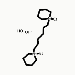 CC[N+]1(CCCCCC[N+]2(CC)CCCCC2)CCCCC1.[OH-].[OH-]